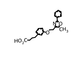 Cc1oc(-c2ccccc2)nc1CCOc1cccc(CCCC(=O)O)c1